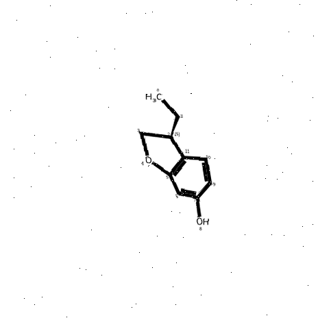 CC[C@@H]1COc2cc(O)ccc21